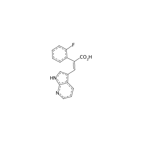 O=C(O)C(=Cc1c[nH]c2ncccc12)c1ccccc1F